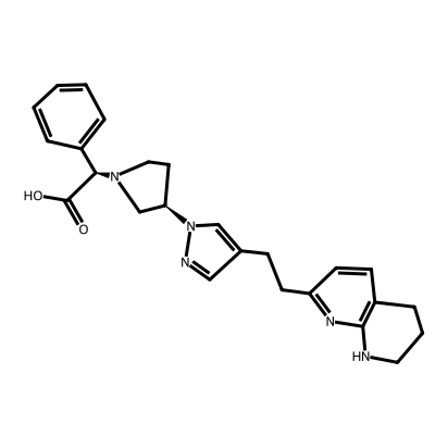 O=C(O)[C@@H](c1ccccc1)N1CC[C@@H](n2cc(CCc3ccc4c(n3)NCCC4)cn2)C1